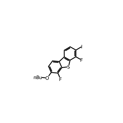 CCCCOc1ccc2c(sc3c(F)c(I)ccc32)c1F